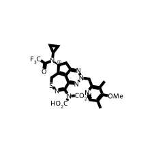 COc1c(C)cnc(CN2N=C3C[C@H](N(C(=O)C(F)(F)F)C4CC4)C4=C3C(=N2)C(N(C(=O)O)C(=O)O)=NSC4)c1C